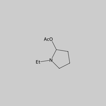 CCN1CCCC1OC(C)=O